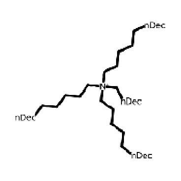 CCCCCCCCCCCCCCC[N+](CCCCCCCCCCC)(CCCCCCCCCCCCCCC)CCCCCCCCCCCCCCC